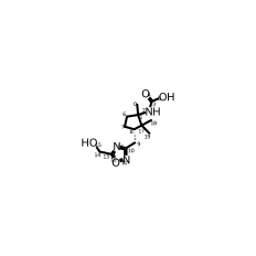 CC1(NC(=O)O)CC[C@@H](Cc2noc(CO)n2)C1(C)C